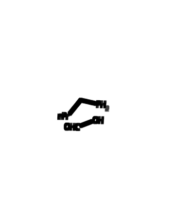 CCCCP.O=CO